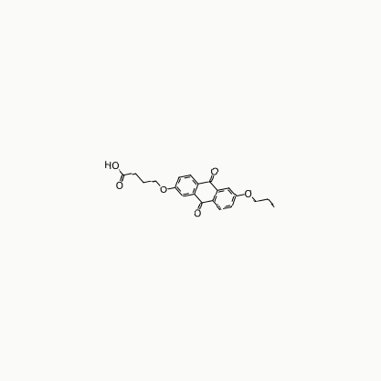 CCCOc1ccc2c(c1)C(=O)c1ccc(OCCCC(=O)O)cc1C2=O